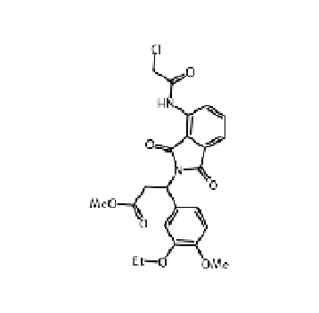 CCOc1cc(C(CC(=O)OC)N2C(=O)c3cccc(NC(=O)CCl)c3C2=O)ccc1OC